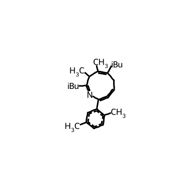 CCC(C)/C1=N/C(c2cc(C)ccc2C)=C=CC/C(C(C)CC)=C(/C)C1C